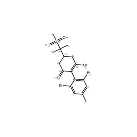 CCc1cc(C)cc(CC)c1C1=C(O)CC(C(C)(C)S(C)(=O)=O)CC1=O